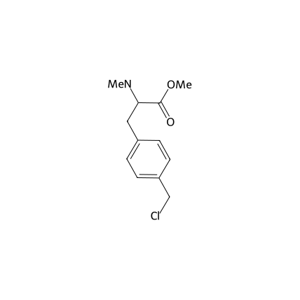 CNC(Cc1ccc(CCl)cc1)C(=O)OC